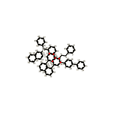 c1ccc(CCC(Cc2ccc(-c3ccccc3)cc2)c2cccc(-c3cccc4cccc(-c5cccc(-c6cccc(N(c7ccccc7)c7ccc8ccccc8c7)c6)c5)c34)c2)cc1